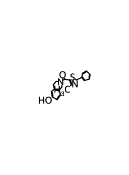 Cc1nc(-c2ccccc2)sc1C(=O)N1CCc2cc(O)ccc2C1